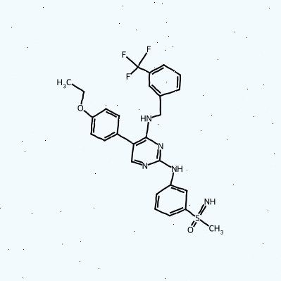 CCOc1ccc(-c2cnc(Nc3cccc(S(C)(=N)=O)c3)nc2NCc2cccc(C(F)(F)F)c2)cc1